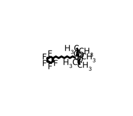 CO[Si](CCCCCCCCc1c(F)c(F)c(F)c(F)c1F)(OC(C)C)OC(C)C